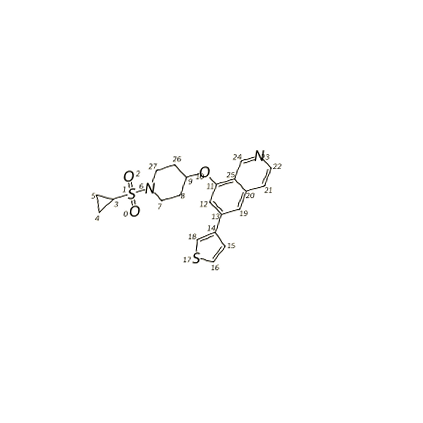 O=S(=O)(C1CC1)N1CCC(Oc2cc(-c3ccsc3)cc3ccncc23)CC1